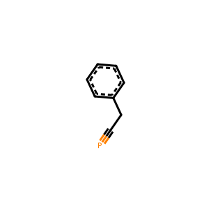 P#CCc1ccccc1